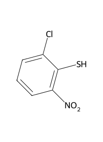 O=[N+]([O-])c1cccc(Cl)c1S